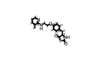 Cc1cccnc1NCCOc1ccc(CC2NC(=O)SC2=O)cc1